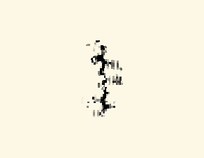 COC(=O)[C@H](N)CSSC[C@@H](N)C(=O)O.Cl.Cl